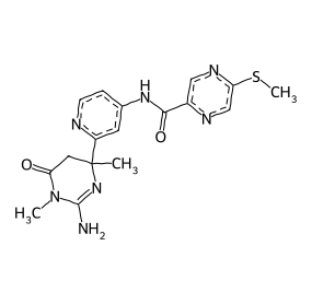 CSc1cnc(C(=O)Nc2ccnc(C3(C)CC(=O)N(C)C(N)=N3)c2)cn1